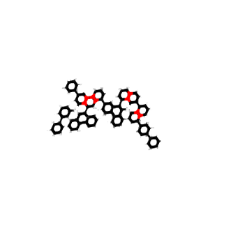 c1ccc(-c2ccc(-c3ccc(N(c4ccccc4-c4ccccc4)c4c(-c5ccccc5)c5cc(-c6cccc(-c7cc(-c8ccccc8)cc(N(c8cccc(-c9ccccc9)c8)c8c(-c9ccccc9)c9ccccc9c9ccccc89)c7)c6)ccc5c5ccccc45)cc3)cc2)cc1